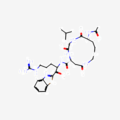 CC(=O)N[C@H]1CCCCNC(=O)C[C@@H](C(=O)NC(CCCNC(=N)N)C(=O)c2nc3ccccc3s2)NC(=O)[C@H](CC(C)C)NC1=O